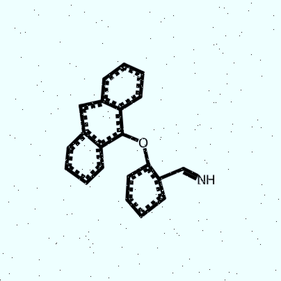 N=Cc1ccccc1Oc1c2ccccc2cc2ccccc12